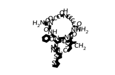 C=Cc1c(C[C@@H]2NC(=O)[C@@H]3C[C@H](n4cc(-c5ccc(-c6cccs6)s5)nn4)CN3C(=O)[C@H](C3CCCCC3)NC(=O)[C@H](CC(N)=O)NC(=O)CCC(=O)NCCCC[C@@H](C(N)=O)NC2=O)csc1/C=C\C